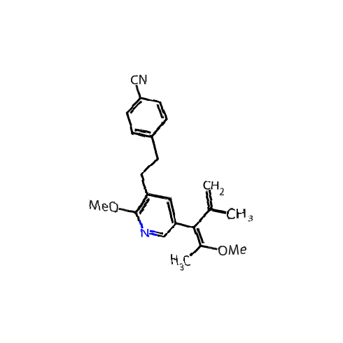 C=C(C)/C(=C(/C)OC)c1cnc(OC)c(CCc2ccc(C#N)cc2)c1